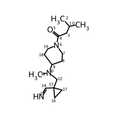 CC(C)CC(=O)N1CCC(N(C)CC2(C=N)CC2)CC1